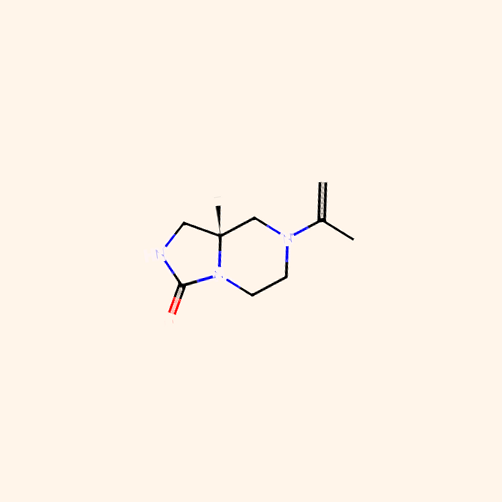 C=C(C)N1CCN2C(=O)NC[C@@H]2C1